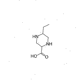 CCC1CNC(C(=O)O)CN1